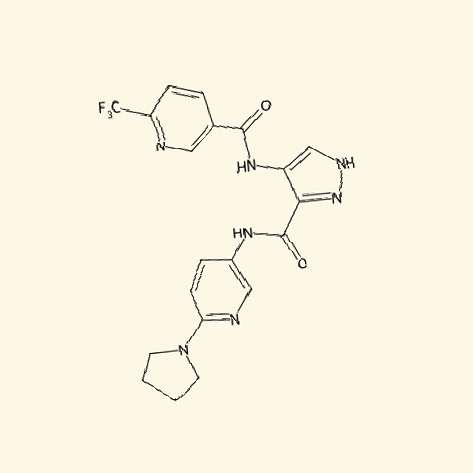 O=C(Nc1c[nH]nc1C(=O)Nc1ccc(N2CCCC2)nc1)c1ccc(C(F)(F)F)nc1